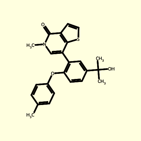 Cc1ccc(Oc2ccc(C(C)(C)O)cc2-c2cn(C)c(=O)c3ccsc23)cc1